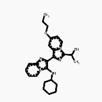 CCCOc1ccn2c(C(C)O)nc(-c3nc4ccccn4c3NC3CCCCC3)c2c1